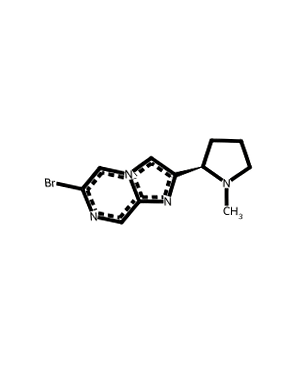 CN1CCC[C@@H]1c1cn2cc(Br)ncc2n1